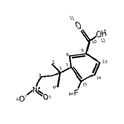 CC(C)(C[N+](=O)[O-])c1cc(C(=O)O)ccc1F